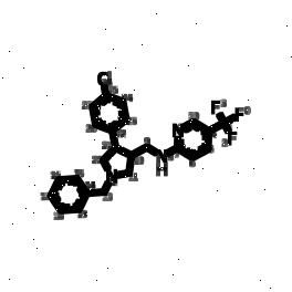 FC(F)(F)c1ccc(NCC2CN(Cc3ccccc3)CC2c2ccc(Cl)cc2)nc1